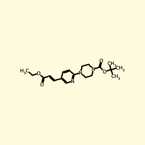 CCOC(=O)C=Cc1ccc(N2CCN(C(=O)OC(C)(C)C)CC2)nc1